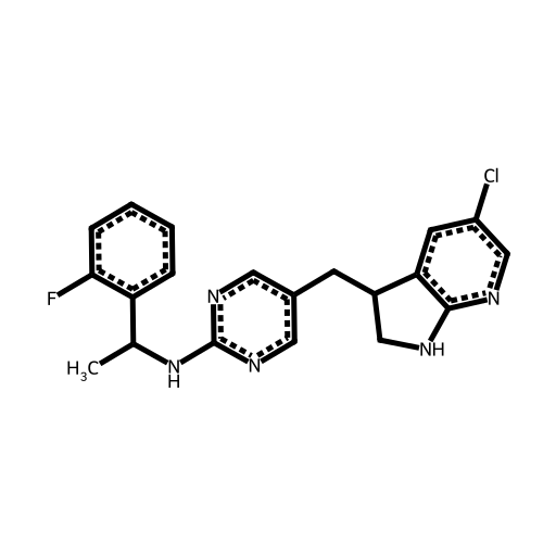 CC(Nc1ncc(CC2CNc3ncc(Cl)cc32)cn1)c1ccccc1F